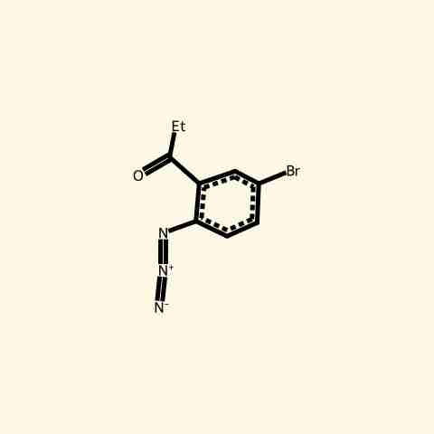 CCC(=O)c1cc(Br)ccc1N=[N+]=[N-]